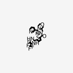 N=C(NC(=O)C(F)(F)F)c1ccc(C(=O)NCC2COCCN2C(=O)c2cccnc2)s1